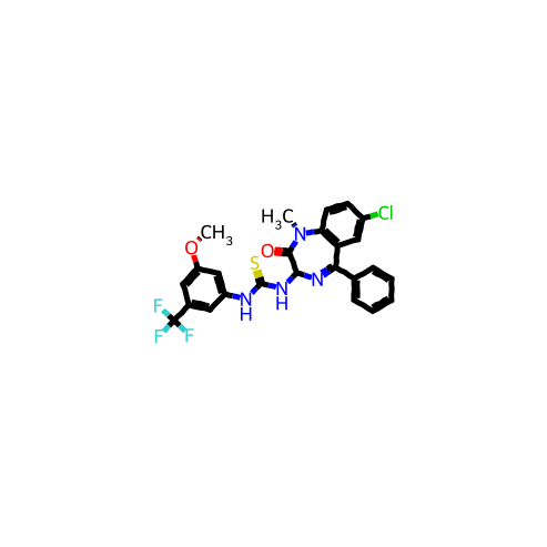 COc1cc(NC(=S)NC2N=C(c3ccccc3)c3cc(Cl)ccc3N(C)C2=O)cc(C(F)(F)F)c1